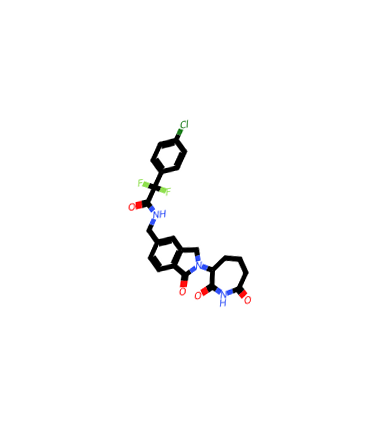 O=C1CCCC(N2Cc3cc(CNC(=O)C(F)(F)c4ccc(Cl)cc4)ccc3C2=O)C(=O)N1